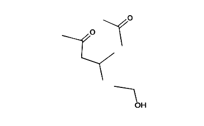 CC(=O)CC(C)C.CC(C)=O.CCO